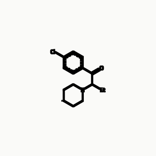 CCC(C(=O)c1ccc(Cl)cc1)N1CC[CH]CC1